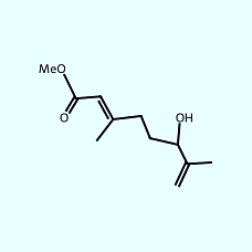 C=C(C)C(O)CC/C(C)=C/C(=O)OC